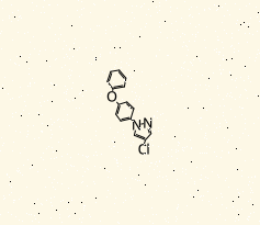 Clc1cnn(-c2ccc(Oc3ccccc3)cc2)c1